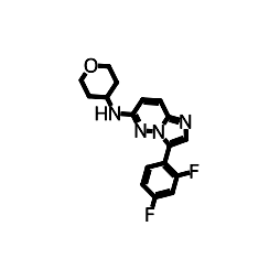 Fc1ccc(-c2cnc3ccc(NC4CCOCC4)nn23)c(F)c1